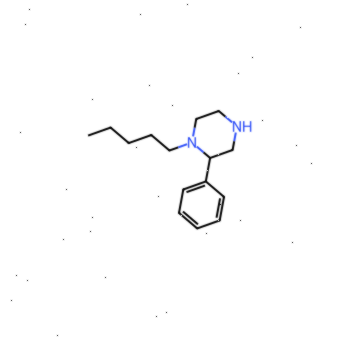 CCCCCN1CCNCC1c1ccccc1